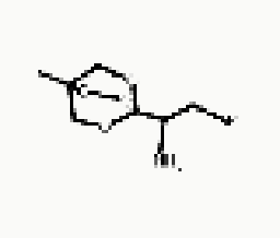 CC(C)CC(N)C12OCC(C)(CO1)CO2